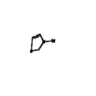 [2H]N1C=CSC1